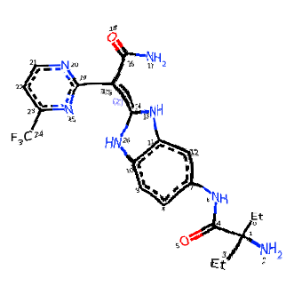 CCC(N)(CC)C(=O)Nc1ccc2c(c1)N/C(=C(\C(N)=O)c1nccc(C(F)(F)F)n1)N2